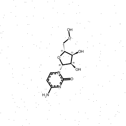 Nc1ccn([C@@H]2O[C@H](COO)[C@@H](O)[C@H]2O)c(=O)n1